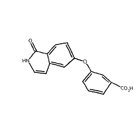 O=C(O)c1cccc(Oc2ccc3c(=O)[nH]ccc3c2)c1